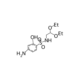 CCOC(CNS(=O)(=O)c1ccc(N)cc1O)OCC